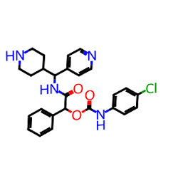 O=C(Nc1ccc(Cl)cc1)OC(C(=O)NC(c1ccncc1)C1CCNCC1)c1ccccc1